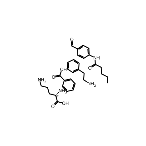 CCCCC(=O)Nc1ccc(C=O)cc1.NCCC[C@H](N)C(=O)O.NCCc1ccccc1.O=C(O)c1ccccc1